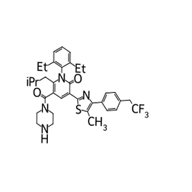 CCc1cccc(CC)c1-n1c(CC(C)C)c(C(=O)N2CCNCC2)cc(-c2nc(-c3ccc(CC(F)(F)F)cc3)c(C)s2)c1=O